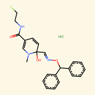 CN1C=C(C(=O)NCCF)C=CC1(O)C=NOC(c1ccccc1)c1ccccc1.Cl